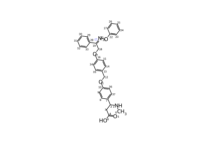 CNC(CC(=O)O)c1ccc(OCc2ccc(OC/C(=N\Oc3ccccc3)c3ccccc3)cc2)cc1